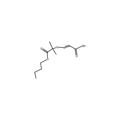 CCCCOC(=O)C(C)(C)ON=CC(=O)O